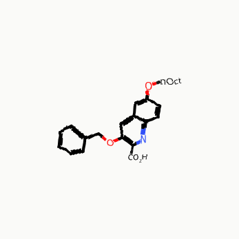 CCCCCCCCOc1ccc2nc(C(=O)O)c(OCc3ccccc3)cc2c1